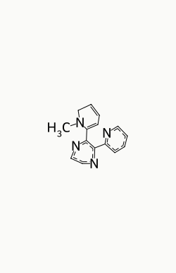 CN1CC=CC=C1c1nccnc1-c1ccccn1